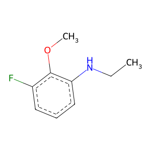 CCNc1cccc(F)c1OC